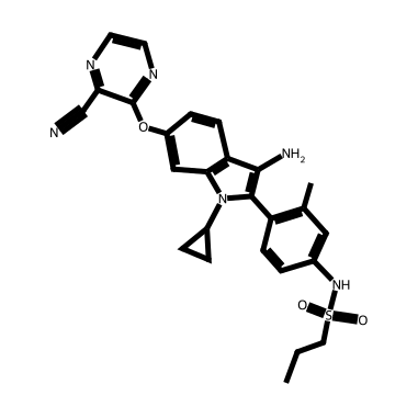 CCCS(=O)(=O)Nc1ccc(-c2c(N)c3ccc(Oc4nccnc4C#N)cc3n2C2CC2)c(C)c1